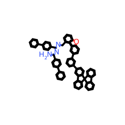 N/C(=N\C(=N/Cc1cccc2oc3ccc(-c4cccc(-c5ccc6c(c5)-c5ccccc5C65c6ccccc6-c6ccccc65)c4)cc3c12)c1ccc(-c2ccccc2)cc1)c1ccc(-c2ccccc2)cc1